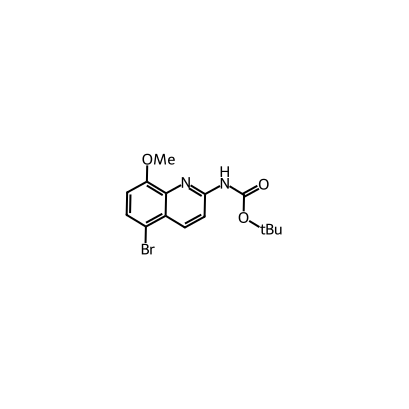 COc1ccc(Br)c2ccc(NC(=O)OC(C)(C)C)nc12